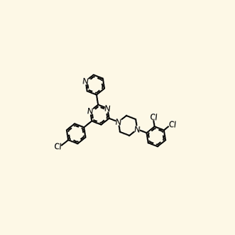 Clc1ccc(-c2cc(N3CCN(c4cccc(Cl)c4Cl)CC3)nc(-c3cccnc3)n2)cc1